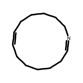 C1=CCCCCCN=CCCCCC1